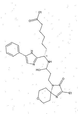 CCC(=O)CCCCC[C@H](NC(O)CCN1C(=O)C(CC)=NC12CCOCC2)c1ncc(-c2ccccc2)[nH]1